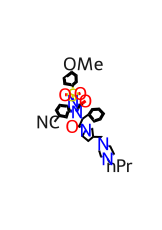 CCCN1CCN(CC2CCN(C(=O)C(c3ccccc3)n3c(=O)n(S(=O)(=O)c4ccc(OC)cc4)c4ccc(C#N)cc43)C2)CC1